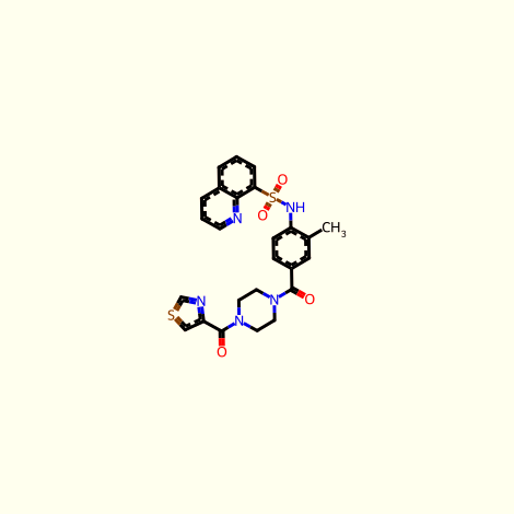 Cc1cc(C(=O)N2CCN(C(=O)c3cscn3)CC2)ccc1NS(=O)(=O)c1cccc2cccnc12